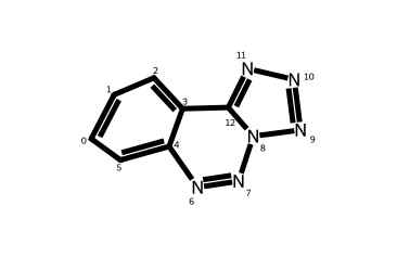 c1ccc2c(c1)nnn1nnnc21